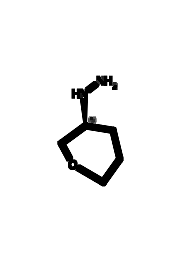 NN[C@H]1CCCOC1